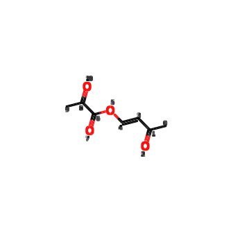 CC(=O)C=COC(=O)C(C)=O